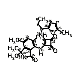 CCC(Nc1c(Nc2c(F)cc(C)c3c2C(=O)NC3(C)C)c(=O)c1=O)c1ccc(C)o1